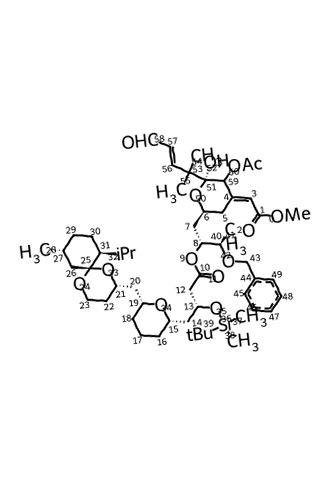 COC(=O)/C=C1\C[C@@H](C[C@@H](OC(=O)C[C@@H](C[C@@H]2CCC[C@H](C[C@@H]3CCO[C@@]4(C[C@H](C)CC[C@H]4C(C)C)O3)O2)O[Si](C)(C)C(C)(C)C)[C@@H](C)OCc2ccccc2)O[C@@](O)(C(C)(C)/C=C/C=O)C1OC(C)=O